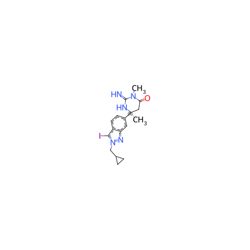 CN1C(=N)N[C@](C)(c2ccc3c(I)n(CC4CC4)nc3c2)CC1=O